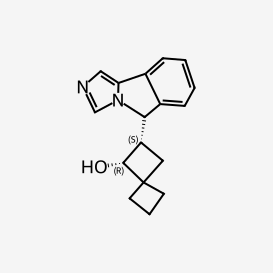 O[C@@H]1[C@H](C2c3ccccc3-c3cncn32)CC12CCC2